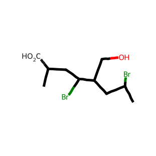 CC(Br)CC(CO)C(Br)CC(C)C(=O)O